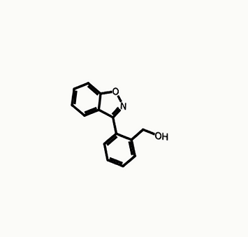 OCc1ccccc1-c1noc2ccccc12